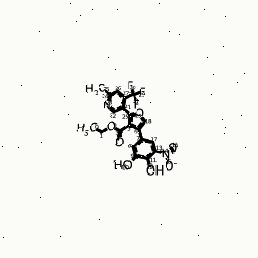 CCOC(=O)c1c(-c2cc(O)c(O)c([N+](=O)[O-])c2)coc1-c1cnc(C)cc1C(F)(F)F